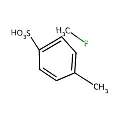 CF.Cc1ccc(S(=O)(=O)O)cc1